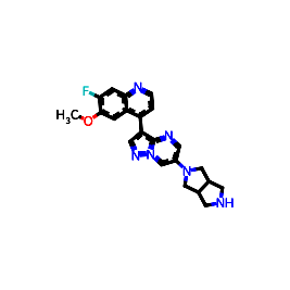 COc1cc2c(-c3cnn4cc(N5CC6CNCC6C5)cnc34)ccnc2cc1F